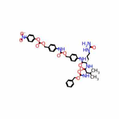 CC(C)[C@H](NC(=O)OCc1ccccc1)C(=O)N[C@@H](CCCNC(N)=O)C(=O)Nc1ccc(COC(=O)Nc2ccc(COC(=O)Oc3ccc([N+](=O)[O-])cc3)cc2)cc1